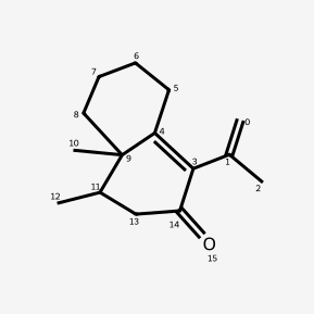 C=C(C)C1=C2CCCCC2(C)C(C)CC1=O